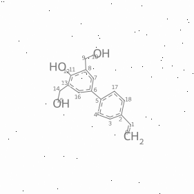 C=Cc1ccc(-c2cc(CO)c(O)c(CO)c2)cc1